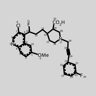 COc1ccc2ncc(Cl)c(C(F)CCC3CCN(CC#Cc4cccc(F)c4)CC3C(=O)O)c2c1